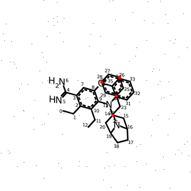 CCc1c(C(=N)N)cc2c(c1CC)N(C1CC3CCC(C1)N3CCc1ccccc1)c1ccccc1O2